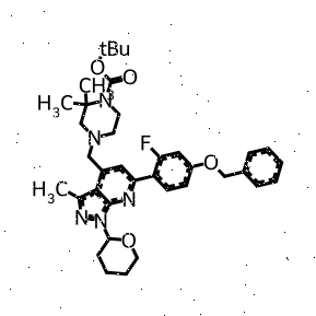 Cc1nn(C2CCCCO2)c2nc(-c3ccc(OCc4ccccc4)cc3F)cc(CN3CCN(C(=O)OC(C)(C)C)C(C)(C)C3)c12